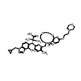 Cc1ccc([C@H](c2ccc3c(nnn3CC3CC3)c2C)C(C)(C)C(=O)O)nc1CN1CCCOCCOc2nc(OCCN3CCOCC3)ccc2S1(=O)=O